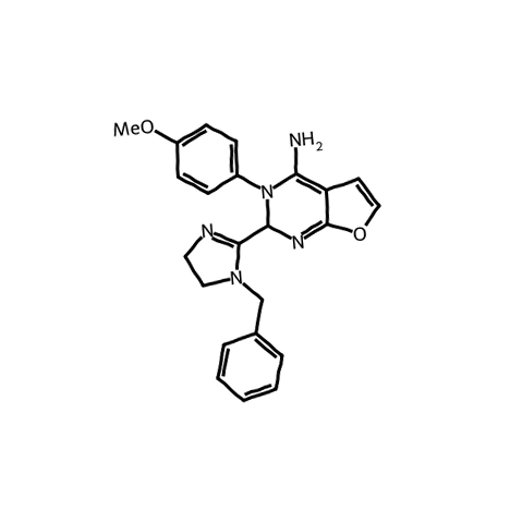 COc1ccc(N2C(N)=c3ccoc3=NC2C2=NCCN2Cc2ccccc2)cc1